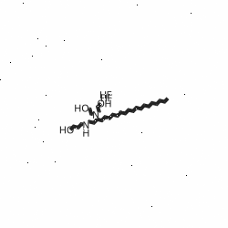 CCCCCCCCCCCCCCCCCCC(CCNCCCO)N(CCO)CCO.F.F